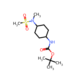 CN(C1CCC(NC(=O)OC(C)(C)C)CC1)S(C)(=O)=O